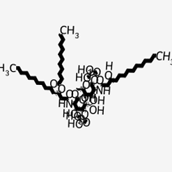 CCCCCCCCCCCC(=O)O[C@H](CCCCCCCCCCC)CC(=O)N[C@H]1[C@H](OC[C@H]2O[C@H](OP(=O)(O)O)[C@H](NC(=O)C[C@H](O)CCCCCCCCCCC)[C@@H](O)[C@@H]2O)O[C@H](CO)[C@@H](OP(=O)(O)O)[C@@H]1O